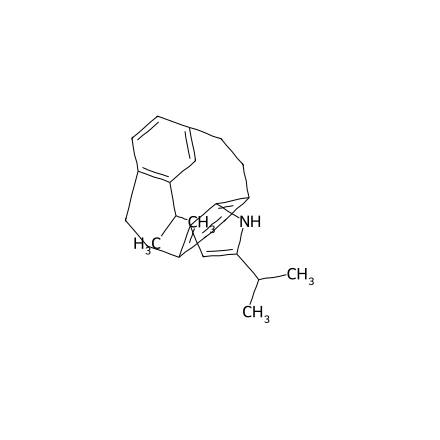 CC(C)c1cc2c3ccc(c2[nH]1)CCc1ccc(c(C(C)C)c1)CC3